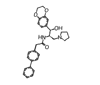 O=C(Cc1ccc(-c2ccccc2)cc1)N[C@H](CN1CCCC1)[C@H](O)c1ccc2c(c1)OCCO2